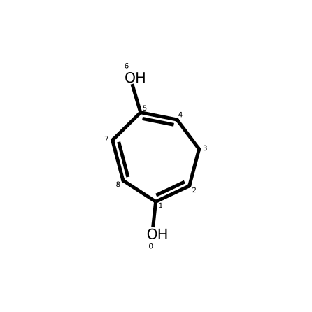 OC1=CCC=C(O)C=C1